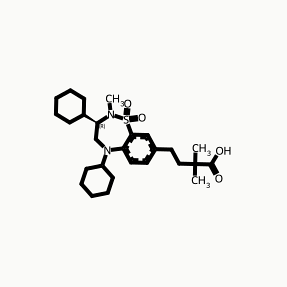 CN1[C@H](C2CCCCC2)CN(C2CCCCC2)c2ccc(CCC(C)(C)C(=O)O)cc2S1(=O)=O